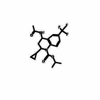 CC(=O)NC1CC(C2CC2)N(C(=O)OC(C)C)c2ccc(C(F)(F)F)cc21